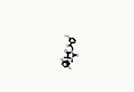 CN1C(=O)N(CC(=O)c2cccc(O)c2)C(=O)C1(C)[C@@H]1C[C@@H]2CC[C@H]1C2